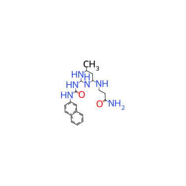 CC1CC(NCCC(N)=O)NC(NC(=O)Nc2ccc3ccccc3c2)N1